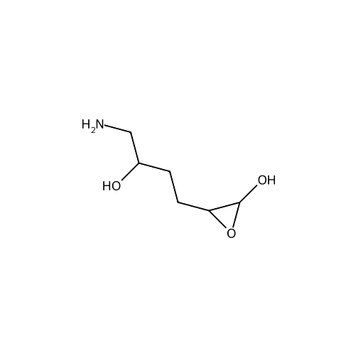 NCC(O)CCC1OC1O